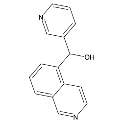 OC(c1cccnc1)c1cccc2cnccc12